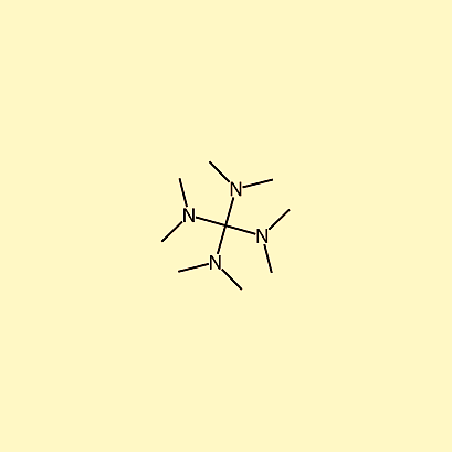 CN(C)C(N(C)C)(N(C)C)N(C)C